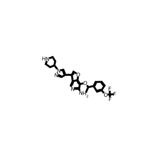 CC(Oc1c(N)ncc2c(-c3cnn(C4CCNCC4)c3)coc12)c1cccc(OC(F)(F)F)c1